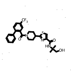 CC(C)(CO)NC(=O)c1csc(C2CCN(C(=O)c3cc(C(F)(F)F)ccc3-c3ccccc3)CC2)n1